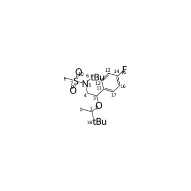 CC(OC(CN(C(C)(C)C)S(C)(=O)=O)c1ccc(F)cc1)C(C)(C)C